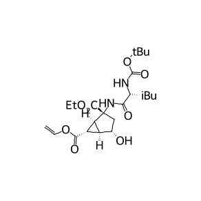 C=COC(=O)[C@H]1[C@H]2[C@@H]1[C@@](NC(=O)C(NC(=O)OC(C)(C)C)[C@@H](C)CC)(C(=O)OCC)C[C@@H]2O